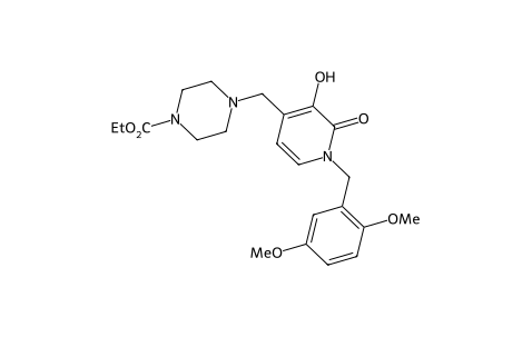 CCOC(=O)N1CCN(Cc2ccn(Cc3cc(OC)ccc3OC)c(=O)c2O)CC1